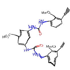 C#Cc1cccc(NC(=O)Nc2cc(NC(=O)Nc3cccc(C#C)c3OC)cc(C(=O)O)c2)c1OC